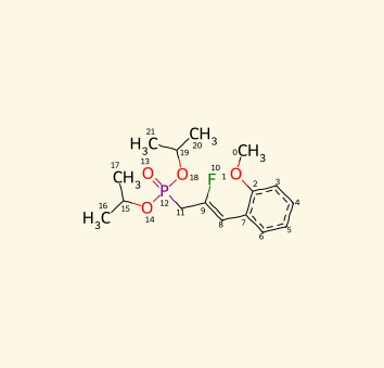 COc1ccccc1/C=C(\F)CP(=O)(OC(C)C)OC(C)C